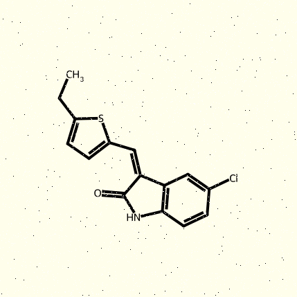 CCc1ccc(C=C2C(=O)Nc3ccc(Cl)cc32)s1